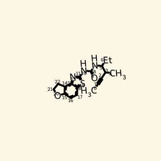 CC#CC(C)C(CC)NC(=O)Nc1nc2c3c(ccc2s1)OCC3